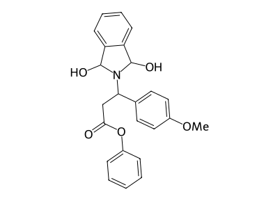 COc1ccc(C(CC(=O)Oc2ccccc2)N2C(O)c3ccccc3C2O)cc1